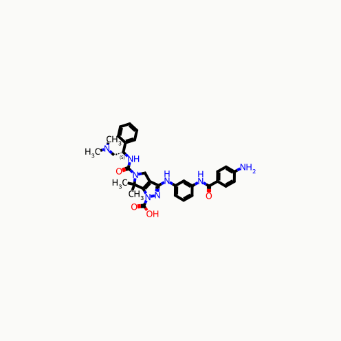 CN(C)C[C@@H](NC(=O)N1Cc2c(Nc3cccc(NC(=O)c4ccc(N)cc4)c3)nn(C(=O)O)c2C1(C)C)c1ccccc1